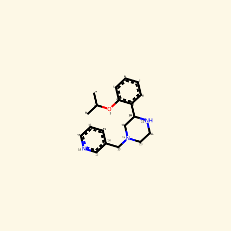 CC(C)Oc1ccccc1C1CN(Cc2cccnc2)CCN1